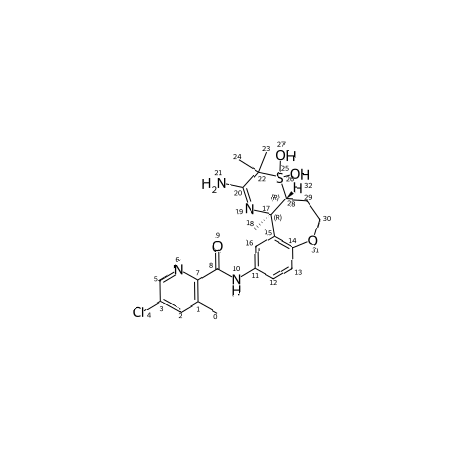 Cc1cc(Cl)cnc1C(=O)Nc1ccc2c(c1)[C@@]1(C)N=C(N)C(C)(C)S(O)(O)[C@@H]1CCO2